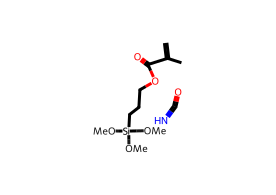 C=C(C)C(=O)OCCC[Si](OC)(OC)OC.N=C=O